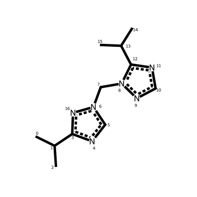 CC(C)c1ncn(Cn2ncnc2C(C)C)n1